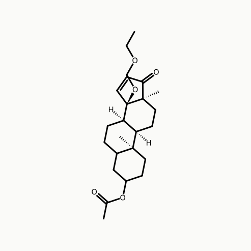 CCOCO[C@@]12C=CC(=O)[C@@]1(C)CC[C@@H]1[C@H]2CCC2CC(OC(C)=O)CC[C@@]21C